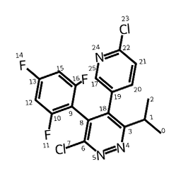 CC(C)c1nnc(Cl)c(-c2c(F)cc(F)cc2F)c1-c1ccc(Cl)nc1